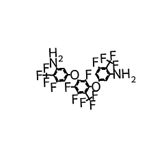 Nc1cc(Oc2c(F)c(F)c(C(F)(F)F)c(Oc3cc(N)c(C(F)(F)F)c(F)c3)c2F)cc(F)c1C(F)(F)F